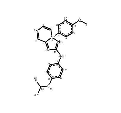 COc1ccc([N+]23C=CN=CC2=NC(Nc2ccc(OC(F)F)cc2)=N3)cn1